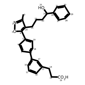 Cc1noc(-c2ccc(-c3cccc(CCC(=O)O)c3)cc2)c1CCCC(O)c1ccccc1